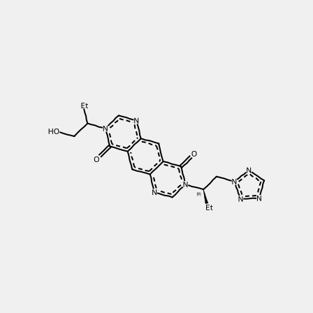 CCC(CO)n1cnc2cc3c(=O)n([C@H](CC)Cn4ncnn4)cnc3cc2c1=O